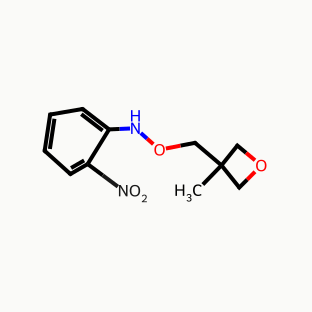 CC1(CONc2ccccc2[N+](=O)[O-])COC1